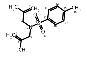 C=C(C)CN(CC(=C)C)S(=O)(=O)c1ccc(C)cc1